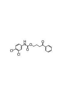 O=C(Nc1ccc(Cl)c(Cl)c1)OCCCC(=O)c1ccccc1